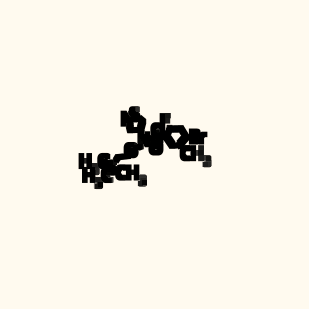 Cc1cc(S(=O)(=O)N(COCCS(C)(C)C)c2cnsc2)c(F)cc1Br